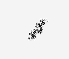 NC(=O)c1ccc[n+]([C@@H]2O[C@H](COP(=O)(O)OP(=O)([O-])OC[C@H]3O[C@@H](n4c(Br)nc5c(N)ncnc54)[C@H](O)[C@@H]3O)[C@@H](O)[C@H]2O)c1